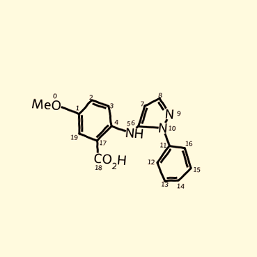 COc1ccc(Nc2ccnn2-c2ccccc2)c(C(=O)O)c1